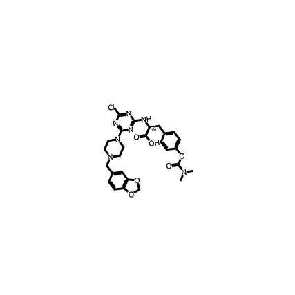 CN(C)C(=O)Oc1ccc(C[C@H](Nc2nc(Cl)nc(N3CCN(Cc4ccc5c(c4)OCO5)CC3)n2)C(=O)O)cc1